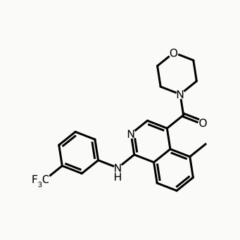 Cc1cccc2c(Nc3cccc(C(F)(F)F)c3)ncc(C(=O)N3CCOCC3)c12